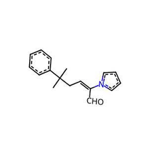 CC(C)(C/C=C(\C=O)n1cccc1)c1ccccc1